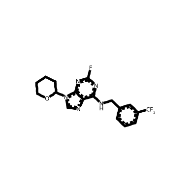 Fc1nc(NCc2cccc(C(F)(F)F)c2)c2ncn(C3CCCCO3)c2n1